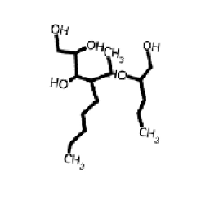 CCCC(O)CO.CCCCCC(CC)C(O)C(O)CO